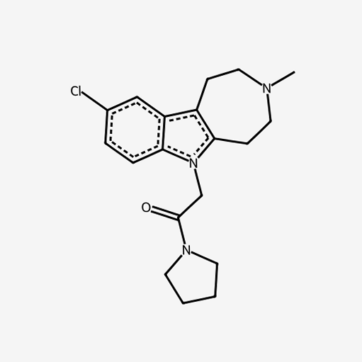 CN1CCc2c(n(CC(=O)N3CCCC3)c3ccc(Cl)cc23)CC1